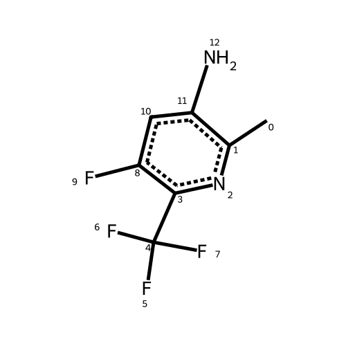 Cc1nc(C(F)(F)F)c(F)cc1N